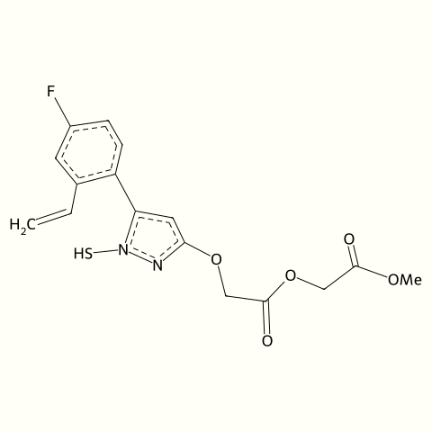 C=Cc1cc(F)ccc1-c1cc(OCC(=O)OCC(=O)OC)nn1S